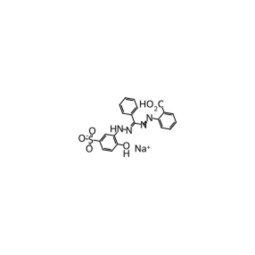 O=C(O)c1ccccc1/N=N/C(=N/Nc1cc(S(=O)(=O)[O-])ccc1O)c1ccccc1.[Na+]